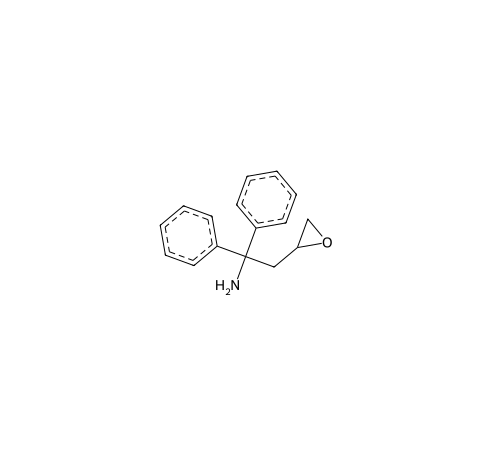 NC(CC1CO1)(c1ccccc1)c1ccccc1